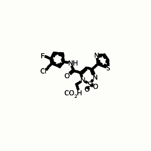 O=C(O)CN1C(C(=O)Nc2ccc(F)c(Cl)c2)=CC(c2nccs2)=NS1(=O)=O